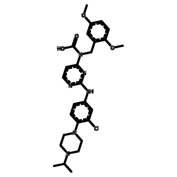 COc1ccc(OC)c(CN(C(=O)O)c2ccnc(Nc3ccc(N4CCN(C(C)C)CC4)c(Cl)c3)n2)c1